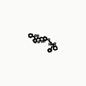 O=C(c1ccccc1)c1ccccc1NC(Cc1ccc(OCCNC(=O)C2(Cc3ccccc3)CCCCC2)cc1)C(=O)O